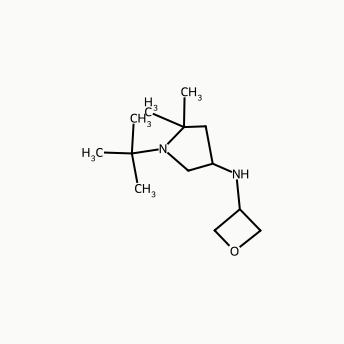 CC(C)(C)N1CC(NC2COC2)CC1(C)C